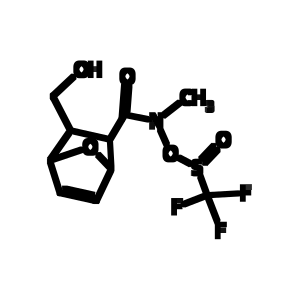 CN(OS(=O)C(F)(F)F)C(=O)C1C2C=CC(O2)C1CO